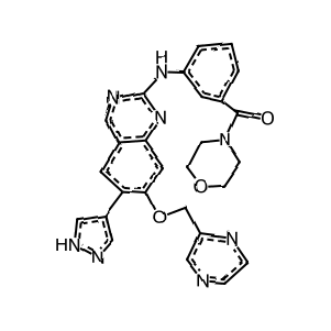 O=C(c1cccc(Nc2ncc3cc(-c4cn[nH]c4)c(OCc4cnccn4)cc3n2)c1)N1CCOCC1